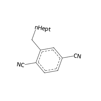 CCCCCCCCc1cc(C#N)ccc1C#N